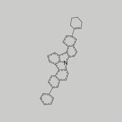 C1=C(c2ccc3c(ccc4c3c3cccc5c6c7ccc(-c8ccccc8)cc7ccc6n4c35)c2)CCCC1